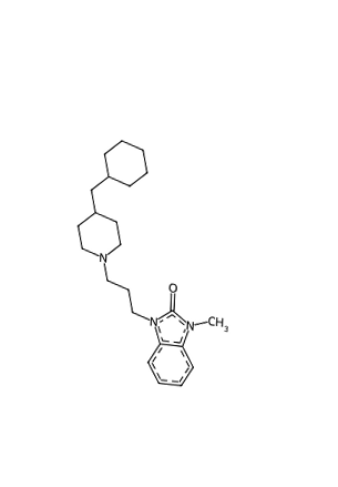 Cn1c(=O)n(CCCN2CCC(CC3CCCCC3)CC2)c2ccccc21